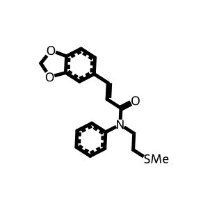 CSCCN(C(=O)C=Cc1ccc2c(c1)OCO2)c1ccccc1